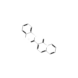 O=C(Nc1ccccc1O)c1ccc2ccccn2c1=O